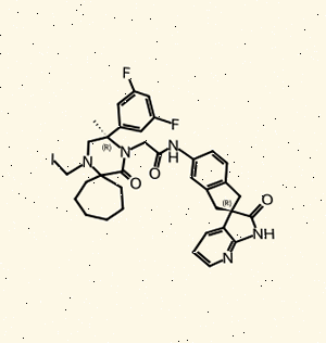 C[C@@]1(c2cc(F)cc(F)c2)CN(CI)C2(CCCCCC2)C(=O)N1CC(=O)Nc1ccc2c(c1)C[C@@]1(C2)C(=O)Nc2ncccc21